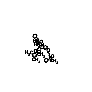 Cc1cc(C)c(OC(=O)CN2Cc3cc(OCCCC(=O)N(C)C4CCCCC4)ccc3N=C2NC(=O)NCC2CCCCC2)c(C)c1